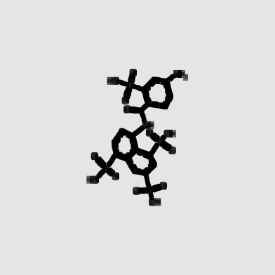 Nc1ccc(C(=O)Nc2ccc(S(=O)(=O)O)c3cc(S(=O)(=O)O)cc(S(=O)(=O)O)c23)c(S(=O)(=O)O)c1